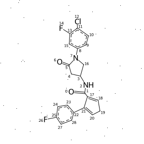 O=C(NC1CC(=O)N(c2ccc(Cl)c(F)c2)C1)C1=CCC=C1c1ccc(F)cc1